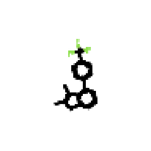 CC1=C(C)c2c(cccc2-c2ccc(C(F)(F)F)cc2)[CH]1